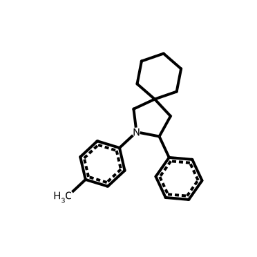 Cc1ccc(N2CC3(CCCCC3)CC2c2ccccc2)cc1